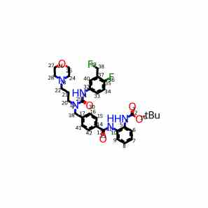 CC(C)(C)OC(=O)Nc1ccccc1NC(=O)c1ccc(CN(CCCN2CCOCC2)C(=O)Nc2ccc(F)c(CF)c2)cc1